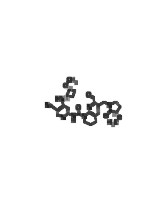 CO[C@H]1CCN(Cc2cc3c(nc2C=O)N(C(=O)Nc2cc(N[C@H]4CC[C@H]4OC)c(C#N)cn2)CCC3)C1=O